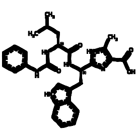 Cc1[nH]c([C@@H](Cc2c[nH]c3ccccc23)NC(=O)[C@H](CC(C)C)NC(=O)Nc2ccccc2)nc1C(=O)O